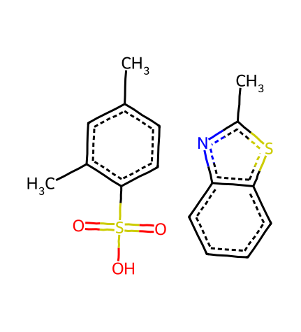 Cc1ccc(S(=O)(=O)O)c(C)c1.Cc1nc2ccccc2s1